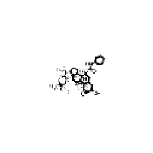 CC(C1OCC(C)(C)CO1)[C@H]1CC[C@H]2[C@@H]3C(OC(=O)Nc4ccccc4)C=C4CC(O)C5OC5[C@]4(C)[C@H]3CC[C@]12C